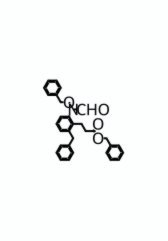 O=CN(OCc1ccccc1)c1cccc(Cc2ccccc2)c1CCC(=O)OCc1ccccc1